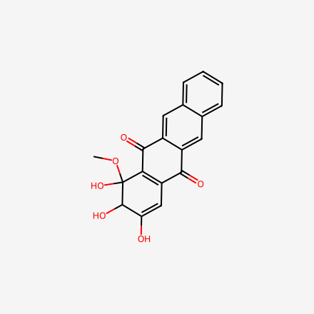 COC1(O)C2=C(C=C(O)C1O)C(=O)c1cc3ccccc3cc1C2=O